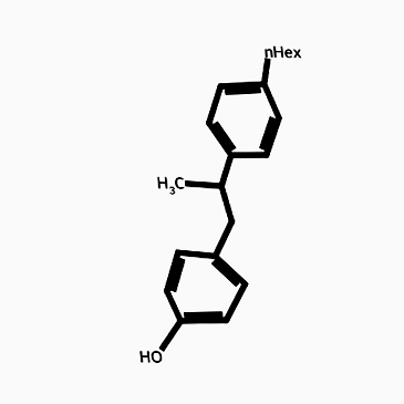 CCCCCCc1ccc(C(C)Cc2ccc(O)cc2)cc1